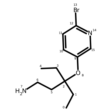 CCC(CC)(CCN)Oc1ccc(Br)nc1